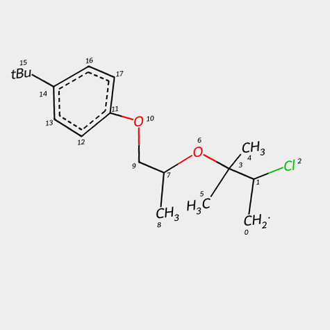 [CH2]C(Cl)C(C)(C)OC(C)COc1ccc(C(C)(C)C)cc1